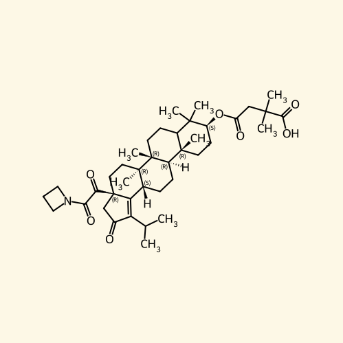 CC(C)C1=C2[C@H]3CC[C@@H]4[C@@]5(C)CC[C@H](OC(=O)CC(C)(C)C(=O)O)C(C)(C)C5CC[C@@]4(C)[C@]3(C)CC[C@@]2(C(=O)C(=O)N2CCC2)CC1=O